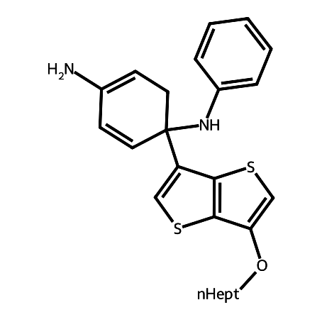 CCCCCCCOc1csc2c(C3(Nc4ccccc4)C=CC(N)=CC3)csc12